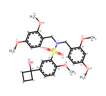 COc1ccc(CN(Cc2ccc(OC)cc2OC)S(=O)(=O)c2cc(C3(O)CCC3)ccc2OC)c(OC)c1